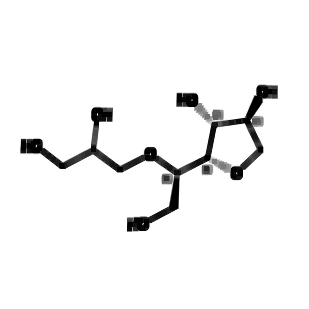 OCC(O)CO[C@H](CO)[C@H]1OC[C@H](O)[C@H]1O